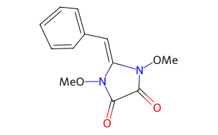 CON1C(=O)C(=O)N(OC)C1=Cc1ccccc1